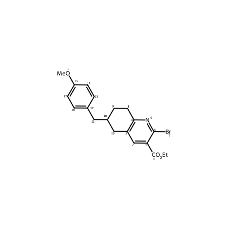 CCOC(=O)c1cc2c(nc1Br)CCC(Cc1ccc(OC)cc1)C2